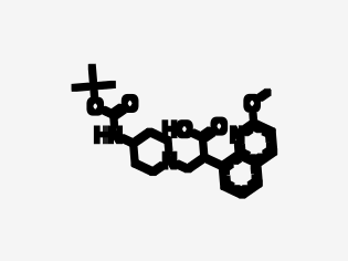 COc1ccc2cccc(C(CN3CCC(NC(=O)OC(C)(C)C)CC3)C(=O)O)c2n1